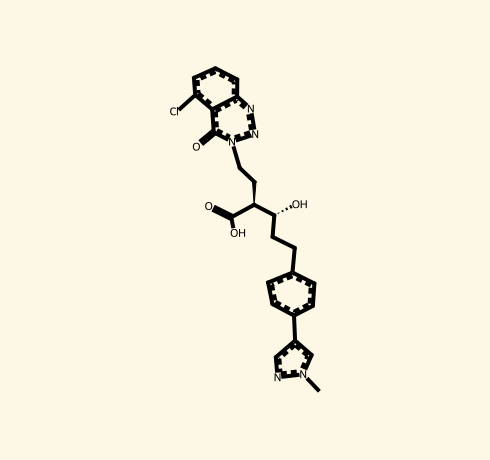 Cn1cc(-c2ccc(CC[C@@H](O)[C@H](CCn3nnc4cccc(Cl)c4c3=O)C(=O)O)cc2)cn1